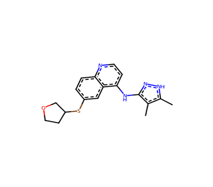 Cc1[nH]nc(Nc2ccnc3ccc(SC4CCOC4)cc23)c1C